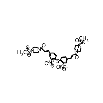 CS(=O)(=O)N1CCN(C(=O)/C=C/c2ccc(Sc3ccc(/C=C/C(=O)N4CCN(S(C)(=O)=O)CC4)cc3[N+](=O)[O-])c([N+](=O)[O-])c2)CC1